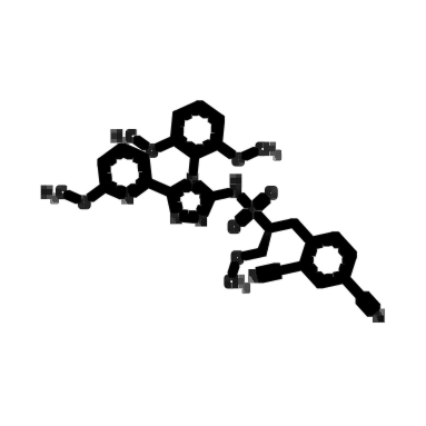 COC[C@H](Cc1ccc(C#N)cc1C#N)S(=O)(=O)Nc1nnc(-c2cccc(OC)n2)n1-c1c(OC)cccc1OC